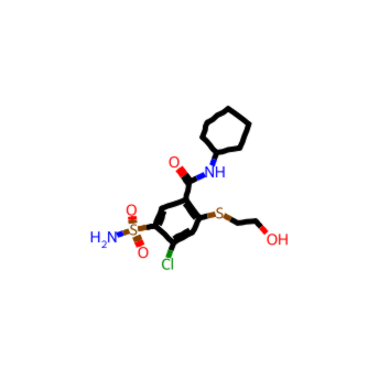 NS(=O)(=O)c1cc(C(=O)NC2CCCCC2)c(SCCO)cc1Cl